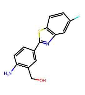 Nc1ccc(-c2nc3cc(F)ccc3s2)cc1CO